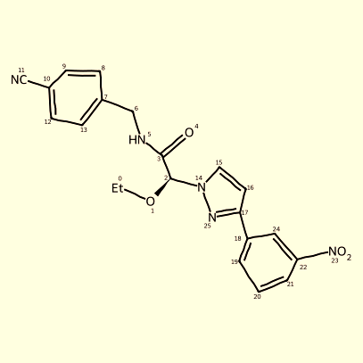 CCO[C@@H](C(=O)NCc1ccc(C#N)cc1)n1ccc(-c2cccc([N+](=O)[O-])c2)n1